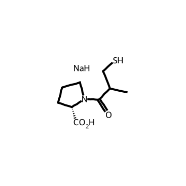 CC(CS)C(=O)N1CCC[C@H]1C(=O)O.[NaH]